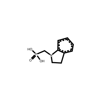 O=P(O)(O)CN1CCc2ccccc21